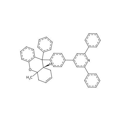 CC12CC=CC[C@H]1C(c1ccccc1)(c1ccc(-c3cc(-c4ccccc4)nc(-c4ccccc4)c3)cc1)c1ccccc1O2